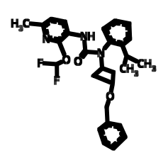 Cc1ccc(NC(=O)N(c2ccccc2C(C)C)C2CC(OCc3ccccc3)C2)c(OC(F)F)n1